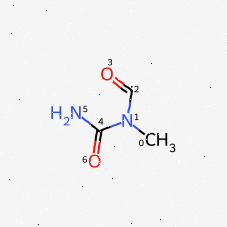 CN([C]=O)C(N)=O